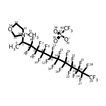 CC(C(F)(F)C(F)(F)C(F)(F)C(F)(F)C(F)(F)C(F)(F)C(F)(F)C(F)(F)C(F)(F)C(F)(F)F)[N+]1(C)CCOC1.O=S(=O)([O-])C(F)(F)F